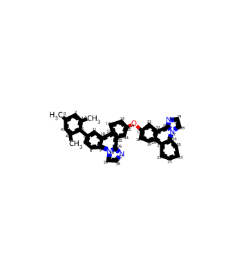 Cc1cc(C)c(-c2ccc3c(c2)c2ccc(Oc4ccc5c6ccccc6n6ccnc6c5c4)cc2c2nccn32)c(C)c1